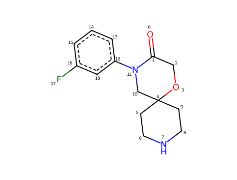 O=C1COC2(CCNCC2)CN1c1cccc(F)c1